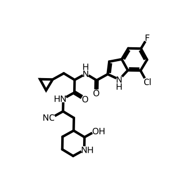 N#CC(CC1CCCNC1O)NC(=O)C(CC1CC1)NC(=O)c1cc2cc(F)cc(Cl)c2[nH]1